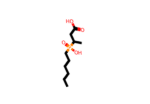 CCCCCCP(=O)(O)C(C)CC(=O)O